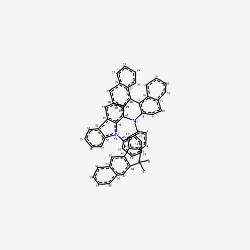 CC1(C)c2ccc(N(c3ccc4ccccc4c3-c3cccc4ccccc34)c3cccc4c5ccccc5n(-c5ccccc5)c34)cc2-c2cc3ccccc3cc21